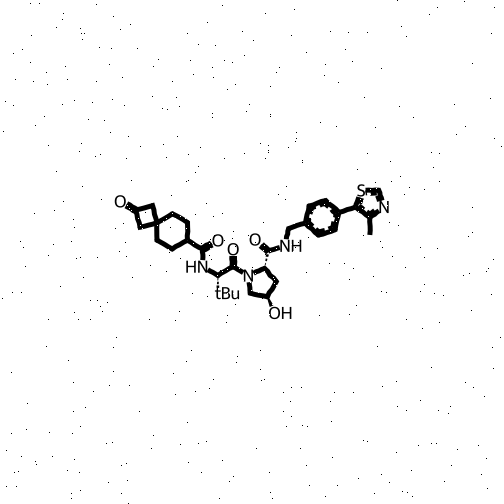 Cc1ncsc1-c1ccc(CNC(=O)[C@@H]2C[C@@H](O)CN2C(=O)[C@@H](NC(=O)C2CCC3(CC2)CC(=O)C3)C(C)(C)C)cc1